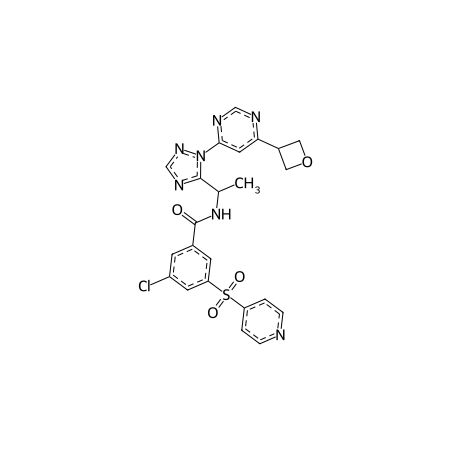 CC(NC(=O)c1cc(Cl)cc(S(=O)(=O)c2ccncc2)c1)c1ncnn1-c1cc(C2COC2)ncn1